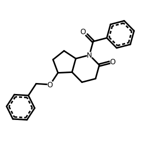 O=C1CCC2C(OCc3ccccc3)CCC2N1C(=O)c1ccccc1